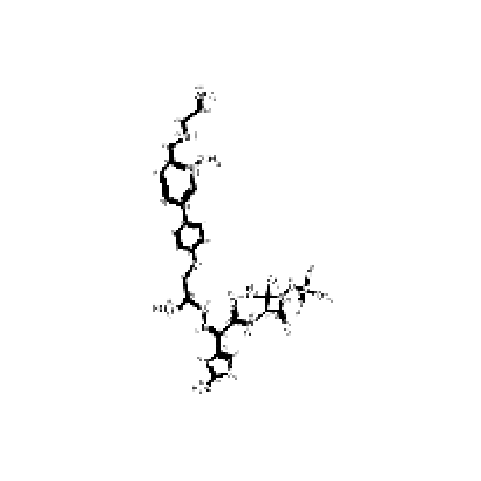 C[n+]1cc(-c2ccc(OCC(O/N=C(\C(=O)N[C@@H]3C(=O)N(OS(=O)(=O)[O-])C3(C)C)c3csc(N)n3)C(=O)O)cc2)ccc1CNCCN